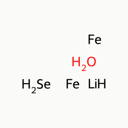 O.[Fe].[Fe].[LiH].[SeH2]